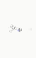 O=C(O)C1=CS[C@@H]2/C(=C/c3ccc4c(c3)N(Cc3ccccc3)CC3=C(C=CCC3=O)O4)C(=O)N12